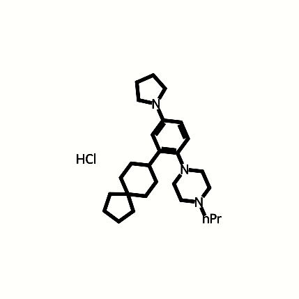 CCCN1CCN(c2ccc(N3CCCC3)cc2C2CCC3(CCCC3)CC2)CC1.Cl